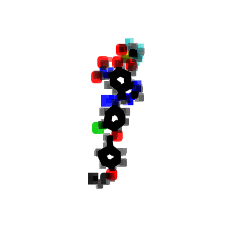 COc1ccc(COc2ccc(Nc3ncnc4cc(OS(=O)(=O)C(F)(F)F)c([N+](=O)[O-])cc34)cc2Cl)cc1